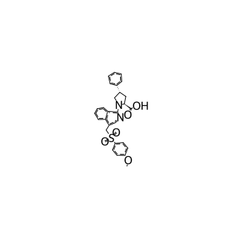 COc1ccc(S(=O)(=O)Cc2cnc(N3C[C@H](c4ccccc4)C[C@H]3C(=O)O)c3ccccc23)cc1